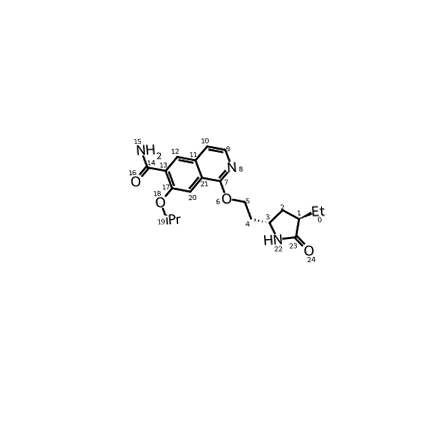 CC[C@@H]1C[C@@H](CCOc2nccc3cc(C(N)=O)c(OC(C)C)cc23)NC1=O